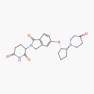 O=C1CCN([C@H]2CCC[C@@H]2Oc2ccc3c(c2)CN(C2CCC(=O)NC2=O)C3=O)CC1